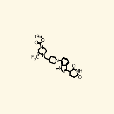 Cn1nc(C2CCC(=O)NC2=O)c2cccc(N3CCC(CN4CCN(C(=O)OC(C)(C)C)C[C@H]4C(F)(F)F)CC3)c21